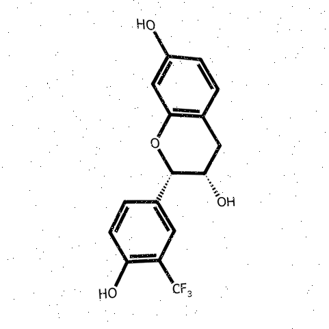 Oc1ccc2c(c1)O[C@@H](c1ccc(O)c(C(F)(F)F)c1)[C@@H](O)C2